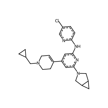 Clc1ccc(Nc2cc(C3=CCN(CC4CC4)CC3)cc(N3CC4CC4C3)n2)nc1